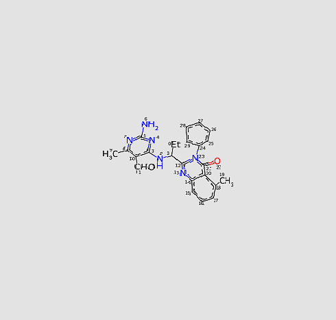 CCC(Nc1nc(N)nc(C)c1C=O)c1nc2cccc(C)c2c(=O)n1-c1ccccc1